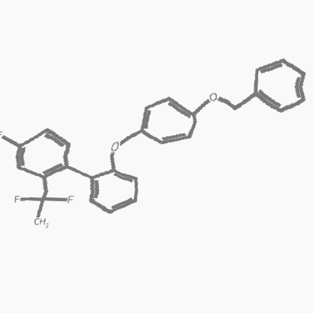 CC(F)(F)c1cc(F)ccc1-c1ccccc1Oc1ccc(OCc2ccccc2)cc1